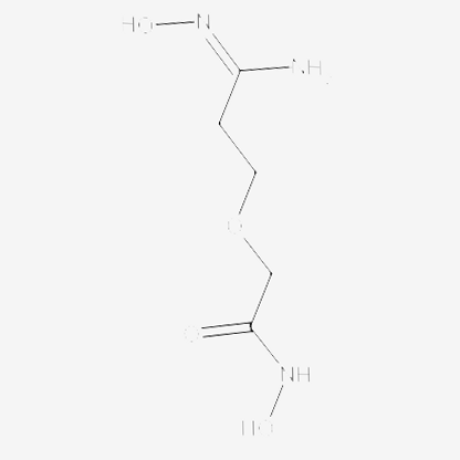 N/C(CCOCC(=O)NO)=N/O